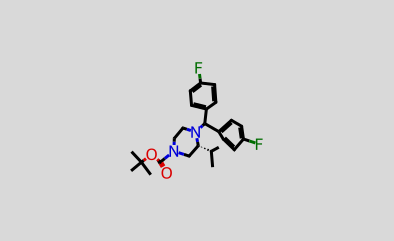 CC(C)[C@@H]1CN(C(=O)OC(C)(C)C)CCN1C(c1ccc(F)cc1)c1ccc(F)cc1